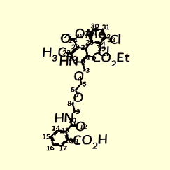 CCOC(=O)C1=C(COCCOCCNC(=O)c2ccccc2C(=O)O)NC(C)=C(C(=O)OC)C1c1cccc(Cl)c1Cl